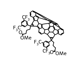 COC(=O)CCCC1(c2cc(C(F)(F)F)cc(C(F)(F)F)c2)C2=C1C1=c3ccc4c5ccc6c7c8c9c%10c%11c%12c(c3c4c(c%129)c75)C1C1C2=C2C=CC3C(C2=C%111)C=%10C1C3C2=C(C6C81)C2(CCCC(=O)OC)c1cc(C(F)(F)F)cc(C(F)(F)F)c1